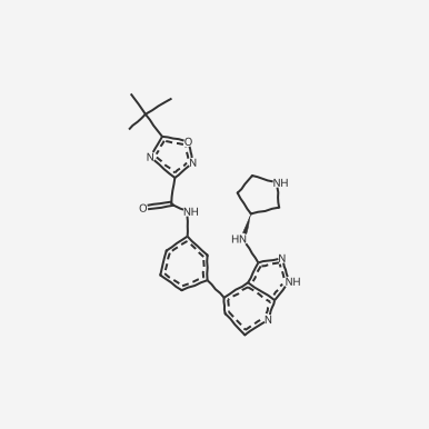 CC(C)(C)c1nc(C(=O)Nc2cccc(-c3ccnc4[nH]nc(N[C@H]5CCNC5)c34)c2)no1